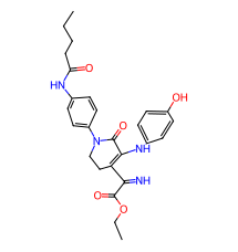 CCCCC(=O)Nc1ccc(N2CCC(C(=N)C(=O)OCC)=C(Nc3ccc(O)cc3)C2=O)cc1